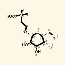 CCCCCCCC[Si](C)(C)CCO[C@@H]1O[C@H](CO)[C@H](O)[C@H](O)[C@H]1O